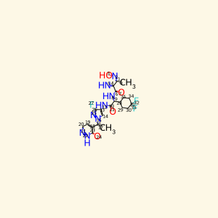 C/C(=N/O)C(=N)C(=O)N[C@H](C(=O)Nc1cn([C@@H](C)c2ccn[nH]c2=O)nc1F)C1CCC(F)(F)CC1